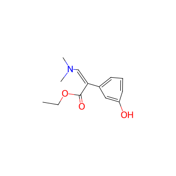 CCOC(=O)C(=CN(C)C)c1cccc(O)c1